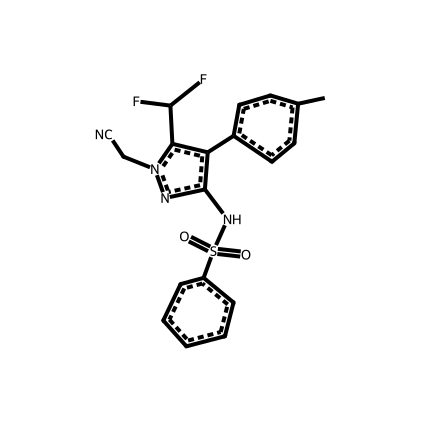 Cc1ccc(-c2c(NS(=O)(=O)c3ccccc3)nn(CC#N)c2C(F)F)cc1